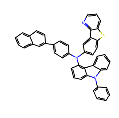 c1ccc(-n2c3ccccc3c3c(N(c4ccc(-c5ccc6ccccc6c5)cc4)c4ccc5sc6cccnc6c5c4)cccc32)cc1